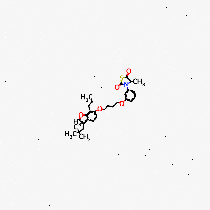 CCCc1c(OCCCCOc2cccc(N3C(=O)SC(=O)C3C)c2)ccc2c(CC(C)(C)C)coc12